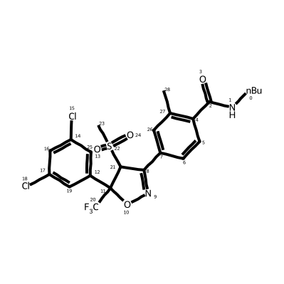 CCCCNC(=O)c1ccc(C2=NOC(c3cc(Cl)cc(Cl)c3)(C(F)(F)F)C2S(C)(=O)=O)cc1C